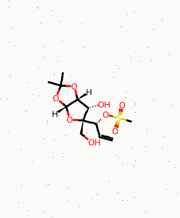 C=C[C@@H](OS(C)(=O)=O)[C@]1(CO)O[C@@H]2OC(C)(C)O[C@@H]2[C@@H]1O